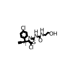 C#C[C@@](C)(c1ccc(Cl)cc1)c1nc(NC(=O)NCCO)sc1Cl